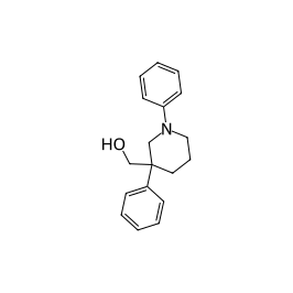 OCC1(c2ccccc2)CCCN(c2ccccc2)C1